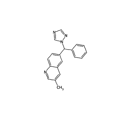 Cc1cnc2ccc(C(c3ccccc3)n3cncn3)cc2c1